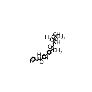 CN(C(=O)CCNC(=O)OC(C)(C)C)c1ccc(-c2ccc(C(=O)NCc3cccnc3)cn2)cc1